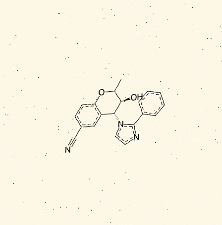 CC1Oc2ccc(C#N)cc2[C@@H](n2ccnc2-c2ccccc2)[C@@H]1O